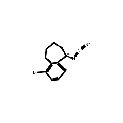 [N-]=[N+]=N[C@@H]1CCCCc2c(Br)cccc21